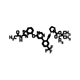 CC(=O)Nc1nc2c(Oc3cc(-c4ccc(C(F)(F)F)cc4C#C[C@@H]4CCCN4C(=O)OC(C)(C)C)ncn3)cccc2s1